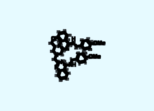 COc1ccc(CNc2nc(CN(CCCO)Cc3nc(NCc4ccc(OC)cc4)c4ccccc4n3)nc3ccccc23)cc1